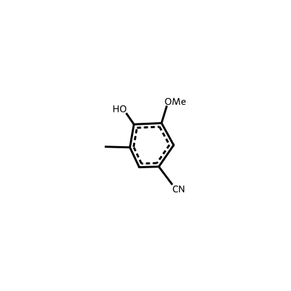 COc1cc(C#N)cc(C)c1O